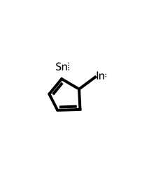 [In][CH]1C=CC=C1.[Sn]